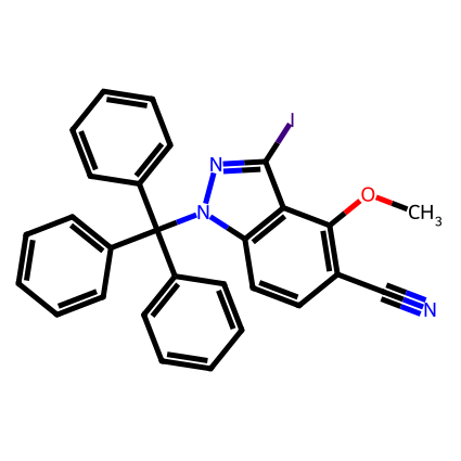 COc1c(C#N)ccc2c1c(I)nn2C(c1ccccc1)(c1ccccc1)c1ccccc1